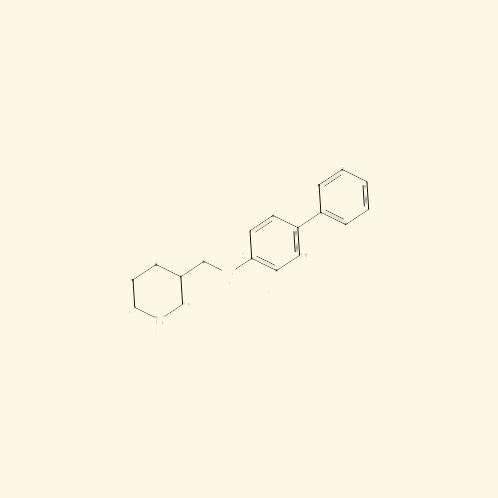 Cl.c1ccc(-c2ccc(OCC3CCCNC3)cc2)cc1